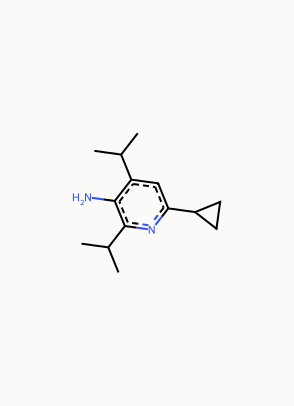 CC(C)c1cc(C2CC2)nc(C(C)C)c1N